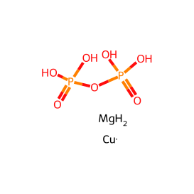 O=P(O)(O)OP(=O)(O)O.[Cu].[MgH2]